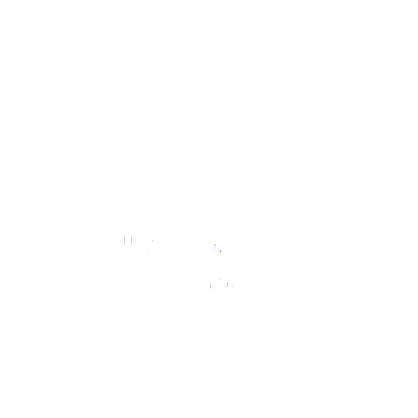 CCCCN1Cc2ccccc2CC1C(=O)O